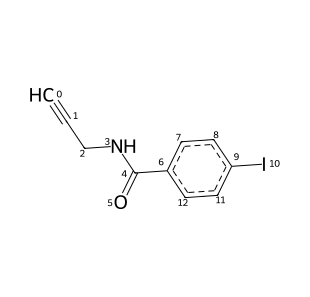 C#CCNC(=O)c1ccc(I)cc1